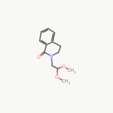 COC(CN1CCc2ccccc2C1=O)OC